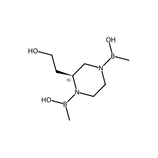 CB(O)N1CCN(B(C)O)[C@@H](CCO)C1